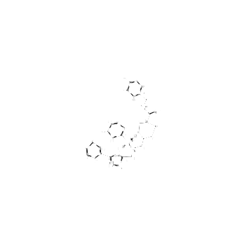 Cc1ccc(CNC(=O)C2CCC(CN(Cc3nnc(-c4ccccc4)o3)S(=O)(=O)c3ccccc3)CC2)cc1